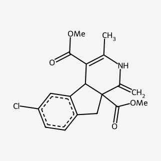 C=C1NC(C)=C(C(=O)OC)C2c3cc(Cl)ccc3CC12C(=O)OC